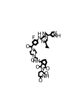 O=C1CCC(N2C(=O)c3cccc(NCC(=O)N4CCN(C(=O)c5ccc(Nc6nc(C7CC7)cn7c(-c8cn[nH]c8)cnc67)c(F)c5)CC4)c3C2=O)C(=O)N1